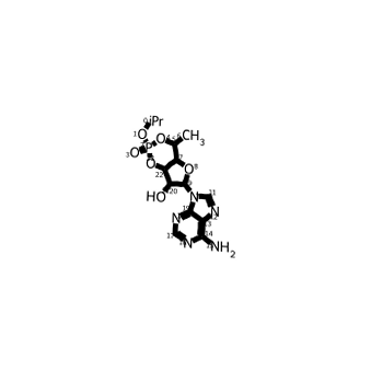 CC(C)OP1(=O)OC(C)C2OC(n3cnc4c(N)ncnc43)C(O)C2O1